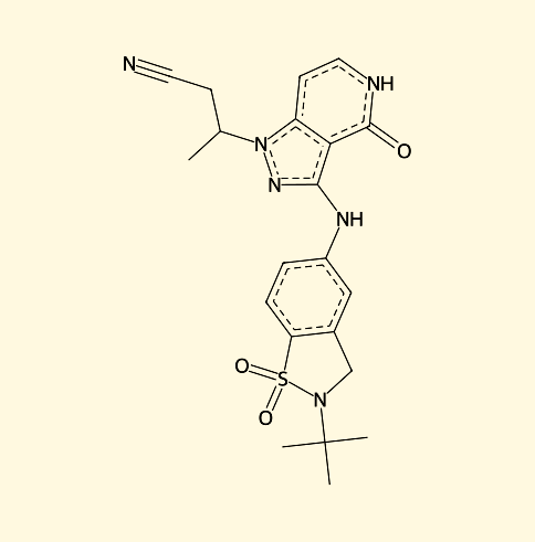 CC(CC#N)n1nc(Nc2ccc3c(c2)CN(C(C)(C)C)S3(=O)=O)c2c(=O)[nH]ccc21